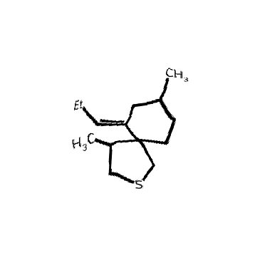 CCC=C1CC(C)CCC12CSCC2C